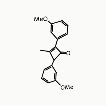 COc1cccc(C2=C(C)C(c3cccc(OC)c3)C2=O)c1